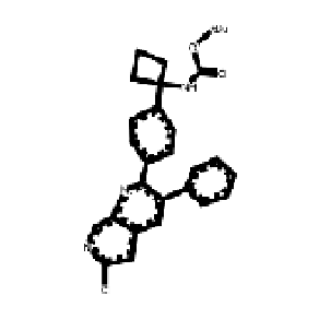 CC(C)(C)OC(=O)NC1(c2ccc(-c3nc4cnc(Cl)cc4cc3-c3ccccc3)cc2)CCC1